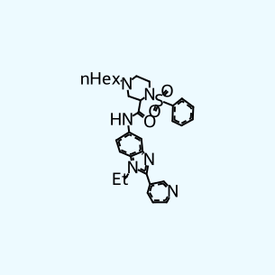 CCCCCCN1CCN(S(=O)(=O)c2ccccc2)C(C(=O)Nc2ccc3c(c2)nc(-c2cccnc2)n3CC)C1